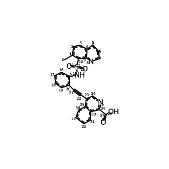 Cc1ccc2cccnc2c1S(=O)(=O)Nc1ccccc1C#Cc1cnc(C(=O)O)c2ccccc12